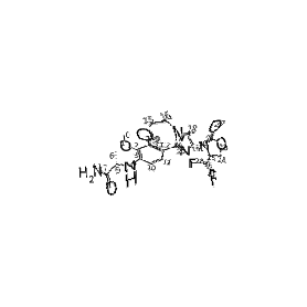 COc1c(N[C@@H](C)C(N)=O)ccc2c1OCCn1cc(N3C(=O)OCC3C(F)F)nc1-2